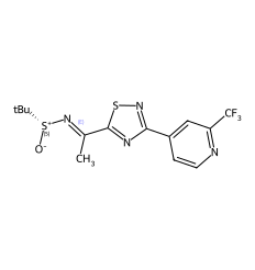 C/C(=N\[S@+]([O-])C(C)(C)C)c1nc(-c2ccnc(C(F)(F)F)c2)ns1